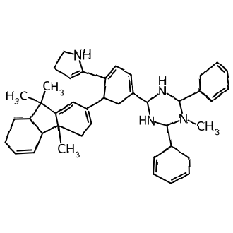 CN1C(C2C=CC=CC2)NC(C2=CC=C(C3=CCCN3)C(C3=CCC4(C)C(=C3)C(C)(C)C3CCC=CC34)C2)NC1C1C=CC=CC1